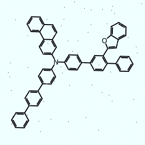 c1ccc(-c2ccc(-c3ccc(N(c4ccc(-c5ccc(-c6ccccc6)c(-c6cc7ccccc7o6)c5)cc4)c4ccc5c(ccc6ccccc65)c4)cc3)cc2)cc1